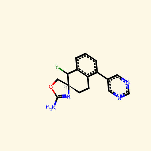 NC1=N[C@]2(CCc3c(-c4cncnc4)cccc3C2F)CO1